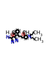 CCCCN(CCCC)c1ccc(/C=C/C=C/C2=C(C#N)C(=C(C#N)C#N)OC2(C)c2ccccc2)c(OC)c1